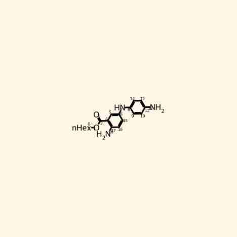 CCCCCCOC(=O)c1cc(Nc2ccc(N)cc2)ccc1N